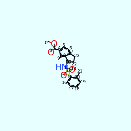 COC(=O)c1ccc2c(c1)[C@H](NS(=O)(=O)c1ccccc1C)CC2